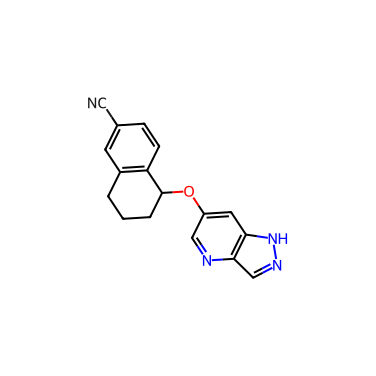 N#Cc1ccc2c(c1)CCCC2Oc1cnc2cn[nH]c2c1